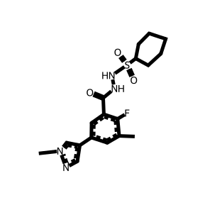 Cc1cc(-c2cnn(C)c2)cc(C(=O)NNS(=O)(=O)C2CCCCC2)c1F